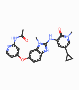 CC(=O)Nc1cc(Oc2ccc3nc(Nc4cc(C5CC5)cn(C)c4=O)n(C)c3c2)ccn1